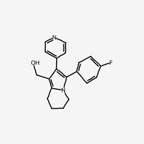 OCc1c(-c2ccncc2)c(-c2ccc(F)cc2)n2c1CCCC2